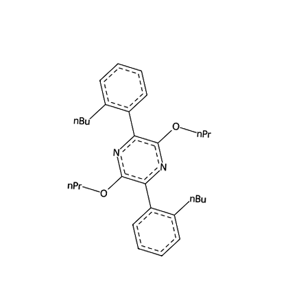 CCCCc1ccccc1-c1nc(OCCC)c(-c2ccccc2CCCC)nc1OCCC